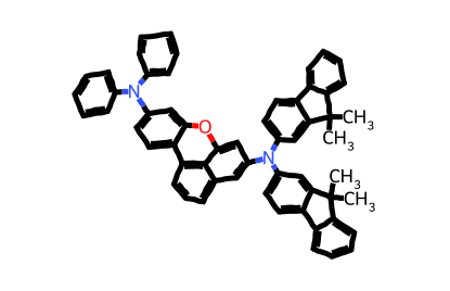 CC1(C)c2ccccc2-c2ccc(N(c3ccc4c(c3)C(C)(C)c3ccccc3-4)c3cc4c5c(cccc5c3)-c3ccc(N(c5ccccc5)c5ccccc5)cc3O4)cc21